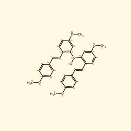 COc1ccc(C=Cc2ccc(OC)cc2[S+]([O-])c2cc(OC)ccc2C=Cc2ccc(OC)cc2)cc1